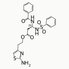 Nc1nc(CCOC(=O)C[C@@H](NC(=O)c2ccccc2)NS(=O)(=O)c2ccccc2)cs1